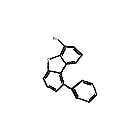 Brc1cccc2c1sc1cccc(-c3ccccc3)c12